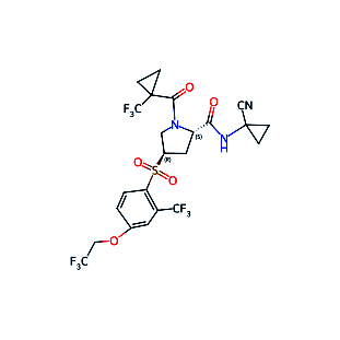 N#CC1(NC(=O)[C@@H]2C[C@@H](S(=O)(=O)c3ccc(OCC(F)(F)F)cc3C(F)(F)F)CN2C(=O)C2(C(F)(F)F)CC2)CC1